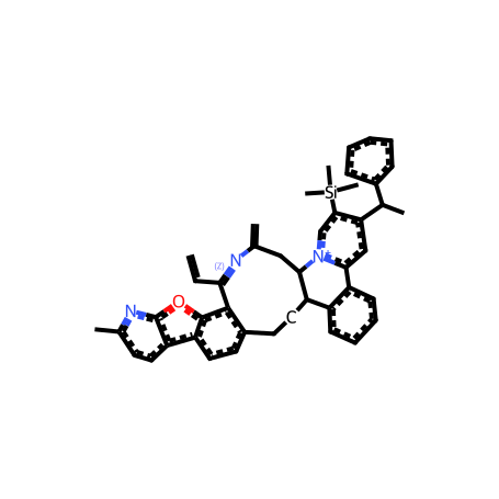 C=C/C1=N/C(=C)CC2C(CCc3ccc4c(oc5nc(C)ccc54)c31)c1ccccc1-c1cc(C(C)c3ccccc3)c([Si](C)(C)C)c[n+]12